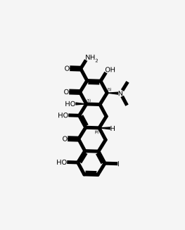 CN(C)[C@@H]1C(O)=C(C(N)=O)C(=O)[C@@]2(O)C(O)=C3C(=O)c4c(O)ccc(I)c4C[C@H]3CC12